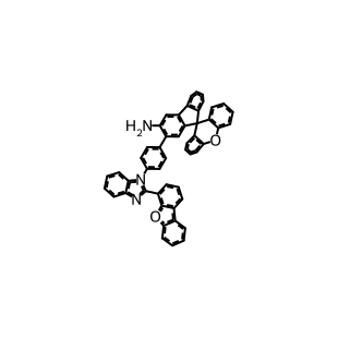 Nc1cc2c(cc1-c1ccc(-n3c(-c4cccc5c4oc4ccccc45)nc4ccccc43)cc1)C1(c3ccccc3Oc3ccccc31)c1ccccc1-2